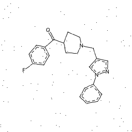 O=C(c1ccc(F)cc1)C1CCN(Cc2cnn(-c3ccccc3)c2)CC1